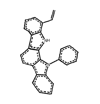 C=Cc1cccc2c1[nH]c1c2ccc2c3ccccc3n(-c3ccccc3)c21